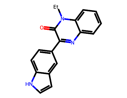 CCn1c(=O)c(-c2ccc3[nH]ccc3c2)nc2ccccc21